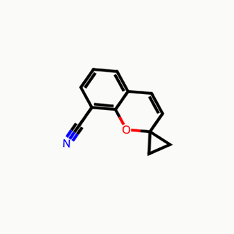 N#Cc1cccc2c1OC1(C=C2)CC1